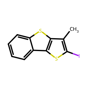 Cc1c(I)sc2c1sc1ccccc12